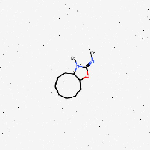 CCN1/C(=N\C(C)C)OC2CCCCCCCC21